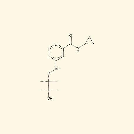 CC(C)(O)C(C)(C)OBc1cccc(C(=O)NC2CC2)c1